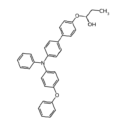 CCC(O)Oc1ccc(-c2ccc(N(c3ccccc3)c3ccc(Oc4ccccc4)cc3)cc2)cc1